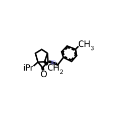 C=C1C2CCC1(C(C)C)C(=O)/C2=C/c1ccc(C)cc1